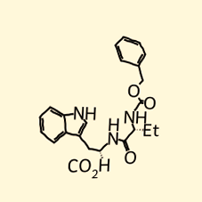 CC[C@@H](NC(=O)OCc1ccccc1)C(=O)N[C@@H](Cc1c[nH]c2ccccc12)C(=O)O